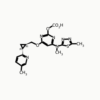 Cc1ccc([C@@H]2C[C@H]2COc2cc(N(C)c3nnc(C)s3)nc(OC(=O)O)n2)nc1